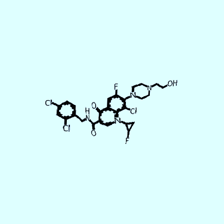 O=C(NCc1ccc(Cl)cc1Cl)c1cn(C2CC2F)c2c(Cl)c(N3CCN(CCO)CC3)c(F)cc2c1=O